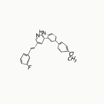 COc1ccc(-c2ccc3[nH]c4ncc(/C=C/c5cccc(F)c5)cc4c3c2)cc1